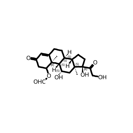 C[C@]12C[C@H](O)[C@H]3[C@@H](CCC4=CC(=O)CC(OC=O)[C@@]43C)[C@@H]1CC[C@]2(O)C(=O)CO